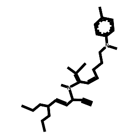 C#CC(/C=C/C(CCC)CCC)N(C)C(/C=C\CCCN(C)c1ccc(C)cc1)=C(C)C